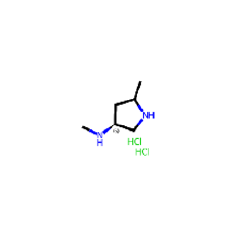 CN[C@@H]1CNC(C)C1.Cl.Cl